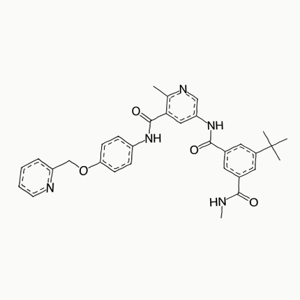 CNC(=O)c1cc(C(=O)Nc2cnc(C)c(C(=O)Nc3ccc(OCc4ccccn4)cc3)c2)cc(C(C)(C)C)c1